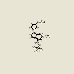 Nc1nc(NOS(=O)(=O)O)c2ncn(C3C=CC(CO)C3)c2n1